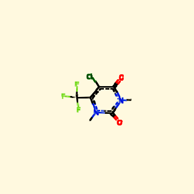 Cn1c(C(F)(F)F)c(Cl)c(=O)n(C)c1=O